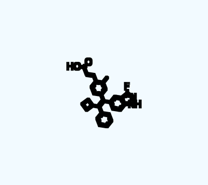 Cc1cc(C(=C(c2ccccc2)C2CCC2)c2ccc3[nH]nc(F)c3c2)ccc1C=CC(=O)O